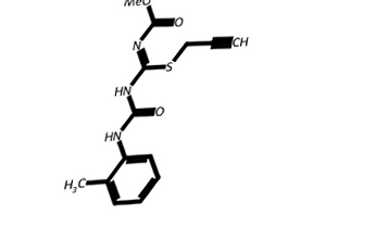 C#CCSC(=NC(=O)OC)NC(=O)Nc1ccccc1C